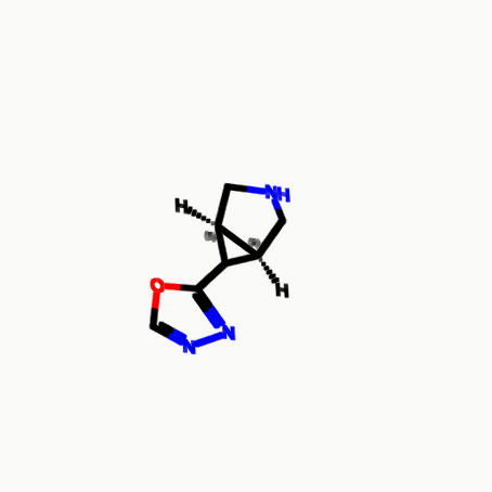 c1nnc(C2[C@H]3CNC[C@@H]23)o1